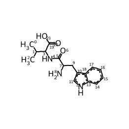 CC(C)C(NC(=O)C(N)Cc1c[nH]c2ccccc12)C(=O)O